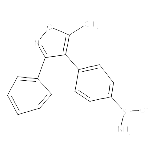 Cc1onc(-c2ccccc2)c1-c1ccc([S+](N)[O-])cc1